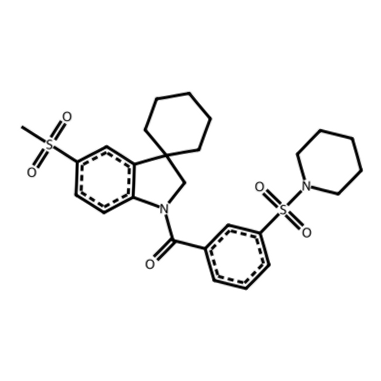 CS(=O)(=O)c1ccc2c(c1)C1(CCCCC1)CN2C(=O)c1cccc(S(=O)(=O)N2CCCCC2)c1